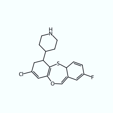 FC1=CC2=COC3=C(SC2C=C1)C(C1CCNCC1)CC(Cl)=C3